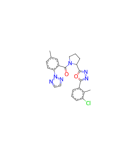 Cc1ccc(-n2nccn2)c(C(=O)N2CCCC2c2nnc(-c3cccc(Cl)c3C)o2)c1